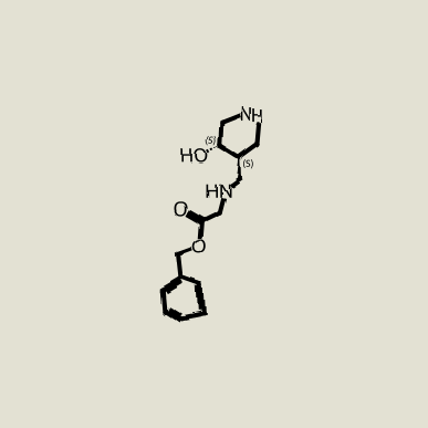 O=C(CNC[C@@H]1CCNC[C@H]1O)OCc1ccccc1